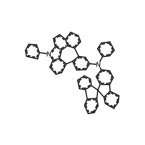 c1ccc(N(c2ccc3c(c2)-c2cccc4ccc5c(c24)c2c-3cccc2n5-c2ccccc2)c2ccc3c(c2)C2(c4ccccc4-c4ccccc42)c2ccccc2-3)cc1